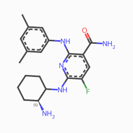 Cc1cc(C)cc(Nc2nc(NC3CCCC[C@@H]3N)c(F)cc2C(N)=O)c1